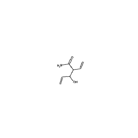 C=C[C](C(N)=O)C(O)C=C